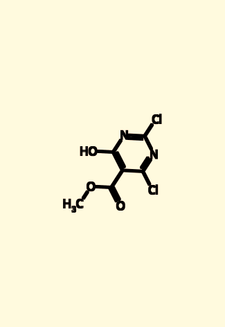 COC(=O)c1c(O)nc(Cl)nc1Cl